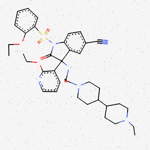 CCOc1ccccc1S(=O)(=O)N1C(=O)C(NC(=O)N2CCC(C3CCN(CC)CC3)CC2)(c2cccnc2OCC)c2cc(C#N)ccc21